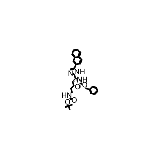 CC(C)(C)OC(=O)NCCCC[C@H](NC(=O)OCc1ccccc1)c1ncc(-c2ccc3ccccc3c2)[nH]1